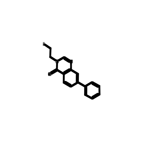 O=c1c2ccc(-c3ccccc3)cc2ncn1CCI